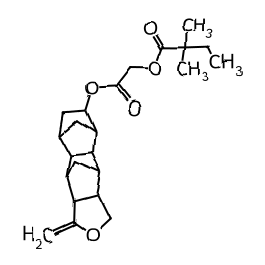 C=C1OCC2C3CC(C12)C1C2CC(OC(=O)COC(=O)C(C)(C)CC)C(C2)C31